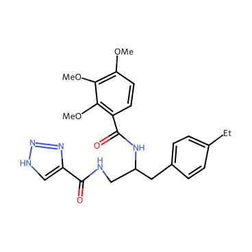 CCc1ccc(CC(CNC(=O)c2c[nH]nn2)NC(=O)c2ccc(OC)c(OC)c2OC)cc1